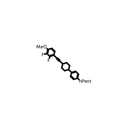 CCCCCc1ccc(C2CCC(C#Cc3ccc(OC)c(F)c3F)CC2)cc1